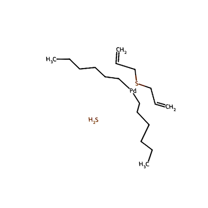 C=CCSCC=C.CCCCC[CH2][Pd][CH2]CCCCC.S